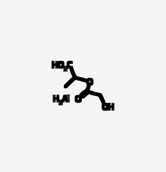 CC(OC(=O)CO)C(=O)O.[AlH3]